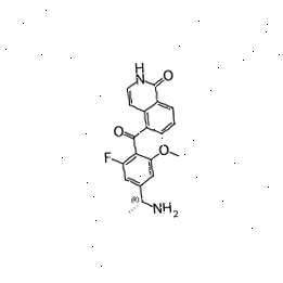 COc1cc([C@@H](C)N)cc(F)c1C(=O)c1cccc2c(=O)[nH]ccc12